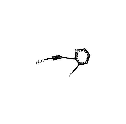 CC#Cc1ncccc1F